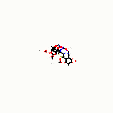 CCCCCCCC(=O)Oc1c(C)c2c(c3c1[C@H]1SC[C@]4(NCCc5cc(OC(=O)OC(C)(C)C)c(OC)cc54)C(=O)OC[C@@H]3N3C1[C@@H]1c4c(cc(C)c(OC)c4OC(=O)CCCCCCC)C[C@H]([C@@H]3C#N)N1C)OCO2